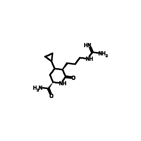 N=C(N)NCCC[C@H]1C(=O)N[C@H](C(N)=O)CC1C1CC1